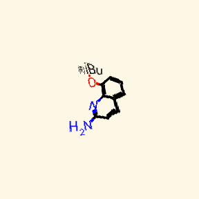 CC[C@@H](C)Oc1cccc2ccc(N)nc12